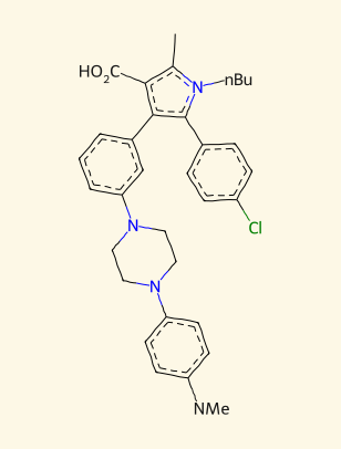 CCCCn1c(C)c(C(=O)O)c(-c2cccc(N3CCN(c4ccc(NC)cc4)CC3)c2)c1-c1ccc(Cl)cc1